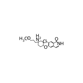 COCCCC1(N)CCC(Oc2cc3cc[nH]c(=O)c3cc2Cl)CC1